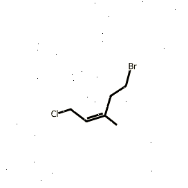 C/C(=C/CCl)CCBr